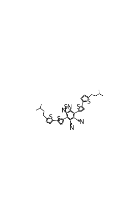 CC(C)CCc1ccc(-c2ccc(-c3c(C#N)c(C#N)c(-c4ccc(-c5ccc(CCC(C)C)s5)s4)c4nsnc34)s2)s1